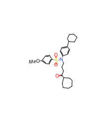 COc1ccc(S(=O)(=O)N(CCCC(=O)C2CCCCCC2)c2ccc(C3CCCCC3)cc2)cc1